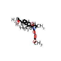 C=CC(=O)CC[C@@]1(C)CCC[C@H]2C3CC[C@@]4(CC(C)=C3C[C@@H]21)O[C@@H]1C[C@H](C)CN(CCOCCOCCOC)[C@H]1[C@H]4C